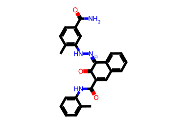 Cc1ccc(C(N)=O)cc1N/N=C1\C(=O)C(C(=O)Nc2ccccc2C)=Cc2ccccc21